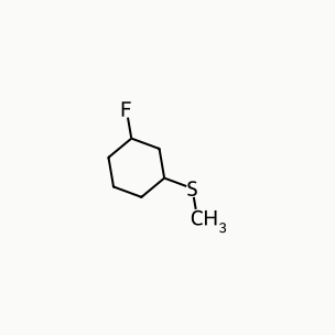 CSC1CCCC(F)C1